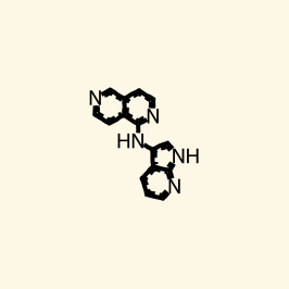 c1cnc2[nH]cc(Nc3nccc4cnccc34)c2c1